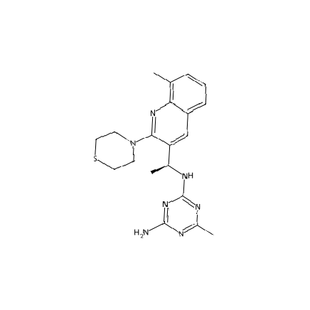 Cc1nc(N)nc(N[C@@H](C)c2cc3cccc(C)c3nc2N2CCSCC2)n1